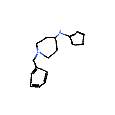 c1ccc(CN2CCC(NC3CCCC3)CC2)cc1